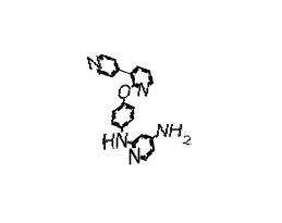 Nc1ccnc(Nc2ccc(Oc3ncccc3-c3ccncc3)cc2)c1